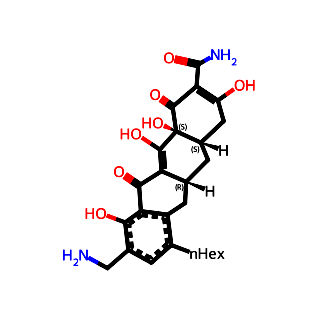 CCCCCCc1cc(CN)c(O)c2c1C[C@H]1C[C@H]3CC(O)=C(C(N)=O)C(=O)[C@@]3(O)C(O)=C1C2=O